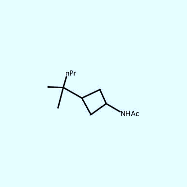 CCCC(C)(C)C1CC(NC(C)=O)C1